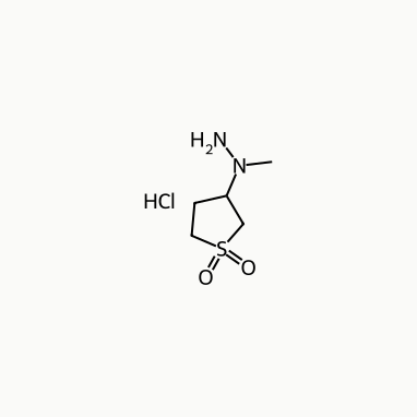 CN(N)C1CCS(=O)(=O)C1.Cl